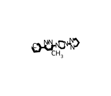 Cc1cc(-c2ccccc2)nnc1N1CCN(C2=NCCC=N2)CC1